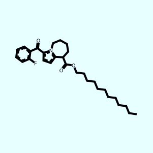 CCCCCCCCCCCCOC(=O)C1CCCCn2c(C(=O)c3ccccc3F)ccc21